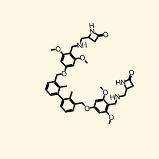 COc1cc(OCc2cccc(-c3cccc(COc4cc(OC)c(CNCC5CC(=O)N5)c(OC)c4)c3C)c2C)cc(OC)c1CNCC1CC(=O)N1